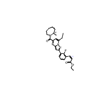 CCOC(=O)/C=C\c1cccc(-c2cc3nc(C(=O)N4CCCCC[C@H]4C)cc(CC)n3n2)c1F